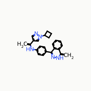 C=C(Nc1ccc(C2=NNC(=C)c3ccccc32)cc1)c1cnn(C2CCC2)c1